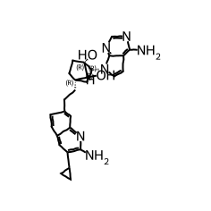 Nc1nc2cc(CC[C@]34CC[C@](O)([C@@H]3O)[C@H](n3ccc5c(N)ncnc53)C4)ccc2cc1C1CC1